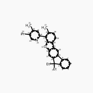 CCC1(CC)c2ccccc2-c2cc3c(cc21)oc1c(-c2cc(C)c(C(C)C)cn2)c(C)ccc13